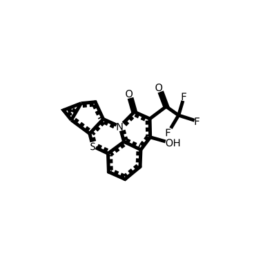 O=C(c1c(O)c2cccc3sc4c5cc5cc4n(c1=O)c32)C(F)(F)F